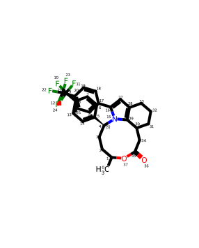 CC1CC[C@@H](c2ccc(C(F)(F)F)cc2)n2c(-c3ccc(C(F)(F)F)cc3)cc3c2C(CCC3)CC(=O)O1